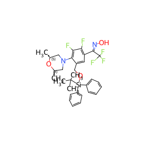 C[C@@H]1CN(c2c(CO[Si](c3ccccc3)(c3ccccc3)C(C)(C)C)cc(C(=NO)C(F)(F)F)c(F)c2F)C[C@H](C)O1